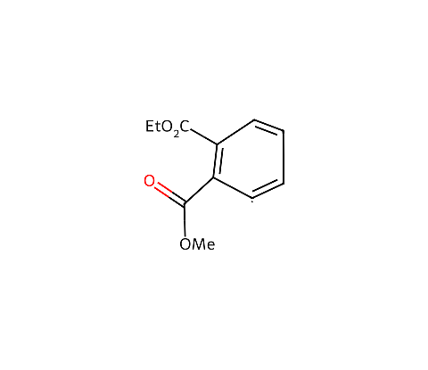 CCOC(=O)c1ccc[c]c1C(=O)OC